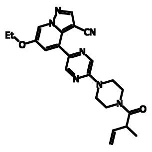 C=CC(C)C(=O)N1CCN(c2cnc(-c3cc(OCC)cn4ncc(C#N)c34)cn2)CC1